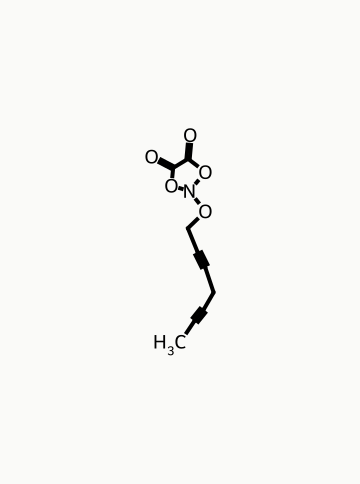 CC#CCC#CCOn1oc(=O)c(=O)o1